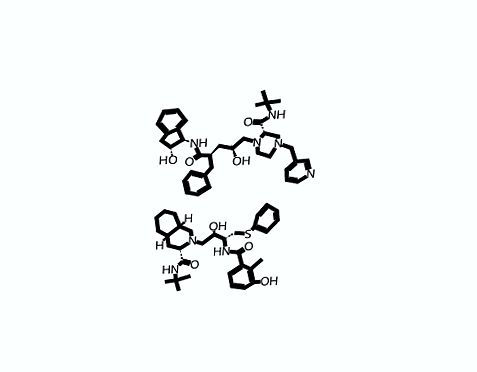 CC(C)(C)NC(=O)[C@@H]1CN(Cc2cccnc2)CCN1C[C@@H](O)C[C@@H](Cc1ccccc1)C(=O)N[C@H]1c2ccccc2C[C@H]1O.Cc1c(O)cccc1C(=O)N[C@@H](CSc1ccccc1)[C@H](O)CN1C[C@H]2CCCC[C@H]2C[C@H]1C(=O)NC(C)(C)C